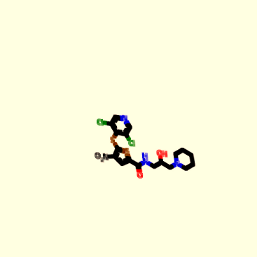 O=C(NCC(O)CN1CCCCC1)c1cc([N+](=O)[O-])c(Sc2c(Cl)cncc2Cl)s1